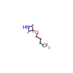 FC(F)(F)CCCOC1CNC1